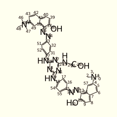 C[N+](C)(C)c1ccc2ccc(O)c(/N=N/c3ccc(Nc4nc(NCCO)nc(Nc5ccc(/N=N/c6c(O)ccc7ccc([N+](C)(C)C)cc67)cc5)n4)cc3)c2c1